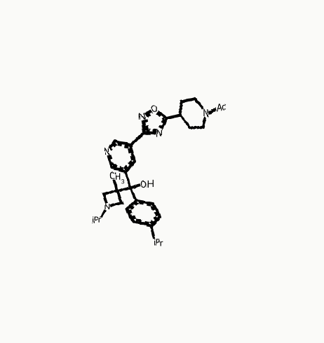 CC(=O)N1CCC(c2nc(-c3cncc(C(O)(c4ccc(C(C)C)cc4)C4(C)CN(C(C)C)C4)c3)no2)CC1